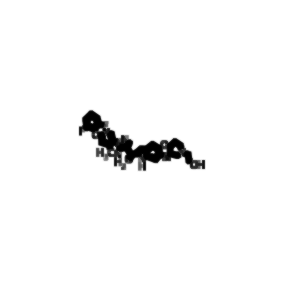 Cc1cc(Oc2c(F)cccc2F)ncc1-n1ncc(C(=O)c2cc3cc(OC4CCN(CCO)CC4)c(Br)cc3[nH]2)c1N